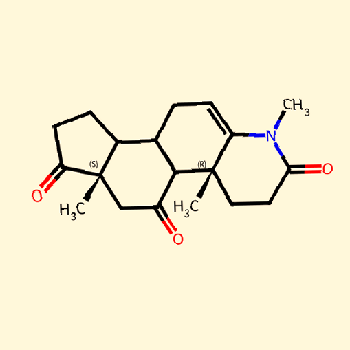 CN1C(=O)CC[C@@]2(C)C1=CCC1C2C(=O)C[C@]2(C)C(=O)CCC12